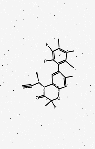 C#C[C@@H](C)N1C(=O)C(C)(F)Oc2cc(C)c(-c3c(C)c(C)c(C)c(F)c3F)cc21